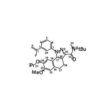 C=C(C)c1cccc(-n2nc(C(=O)N(C)C(C)(C)C)c3c2-c2cc(OC(C)C)c(OC)cc2CC3)c1